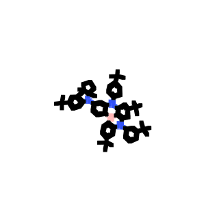 CC(C)(C)c1ccc(N2c3cc(N4c5ccc(C(C)(C)C)cc5C5(C)CCCC45C)ccc3B3c4ccc(C(C)(C)C)cc4N(c4cccc(C(C)(C)C)c4)c4cc(C(C)(C)C)cc2c43)cc1